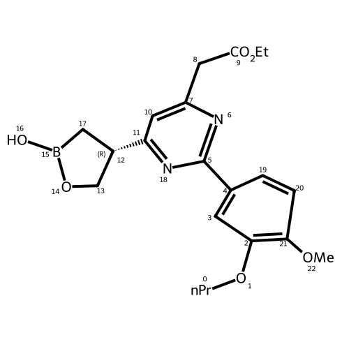 CCCOc1cc(-c2nc(CC(=O)OCC)cc([C@@H]3COB(O)C3)n2)ccc1OC